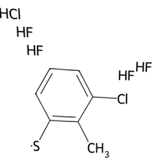 Cc1c([S])cccc1Cl.Cl.F.F.F.F